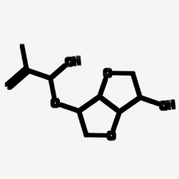 C=C(C)C(O)OC1COC2C(O)COC12